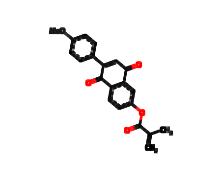 C=C(C)C(=O)Oc1ccc2c(c1)C(=O)C=C(c1ccc(OC)cc1)C2=O